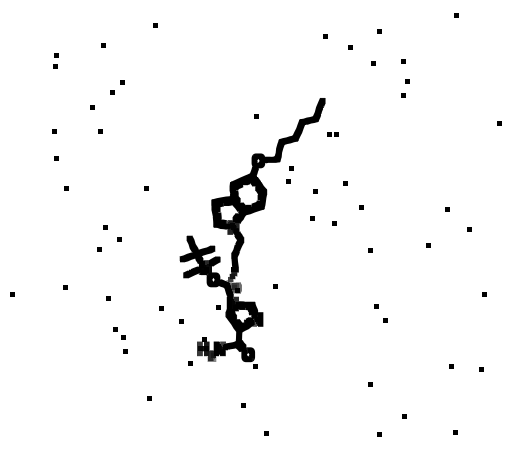 CCCCCCOc1ccc2c(ccn2CCC[C@@H](O[Si](C)(C)C(C)(C)C)n2cnc(C(N)=O)c2)c1